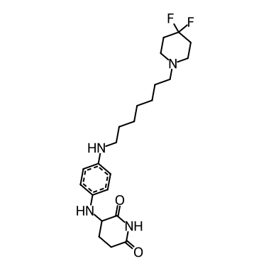 O=C1CCC(Nc2ccc(NCCCCCCCN3CCC(F)(F)CC3)cc2)C(=O)N1